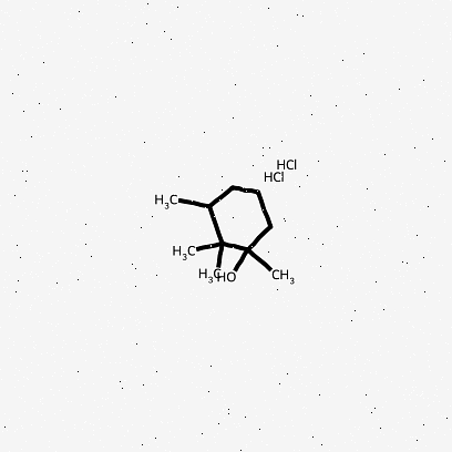 CC1CCCC(C)(O)C1(C)C.Cl.Cl